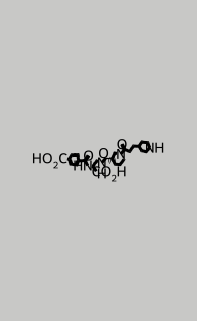 O=C(O)c1ccc(C(=O)NC(CNC(=O)[C@@H]2CCCN(C(=O)CCC3CCNCC3)C2)C(=O)O)cc1